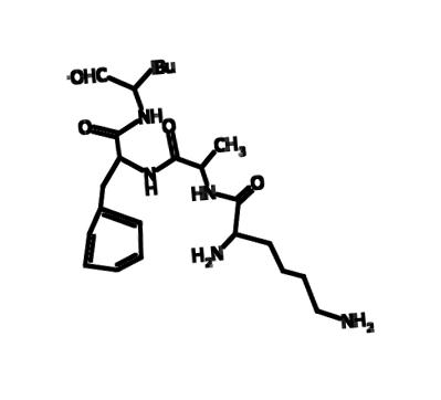 CCC(C)C([C]=O)NC(=O)C(Cc1ccccc1)NC(=O)C(C)NC(=O)C(N)CCCCN